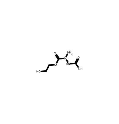 NN(NC(=O)O)C(=O)OCCO